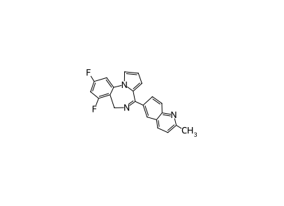 Cc1ccc2cc(C3=NCc4c(F)cc(F)cc4-n4cccc43)ccc2n1